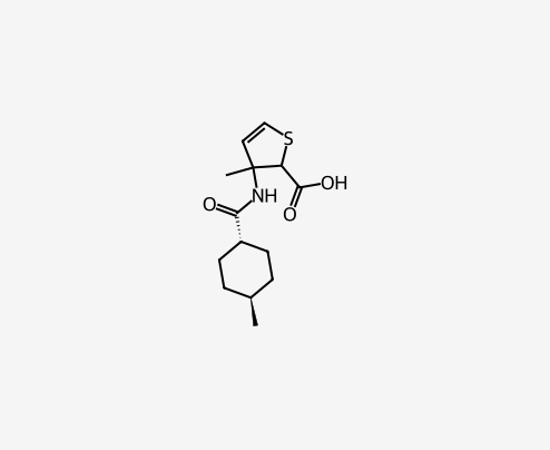 CC1(NC(=O)[C@H]2CC[C@H](C)CC2)C=CSC1C(=O)O